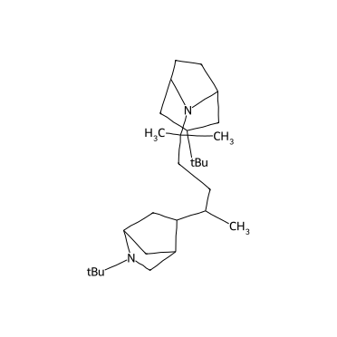 CC(CCC(C)(C)N1C2CCC1CC(C(C)(C)C)C2)C1CC2CC1CN2C(C)(C)C